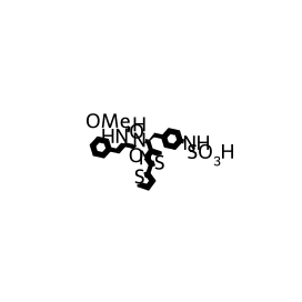 COC(=O)N/C(=C\c1ccccc1)C(=O)N[C@@H](Cc1ccc(NS(=O)(=O)O)cc1)c1csc(-c2cccs2)n1